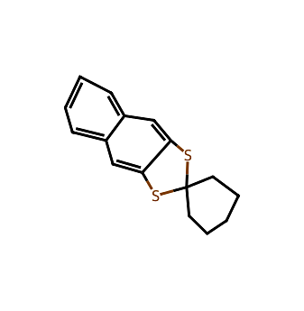 c1ccc2cc3c(cc2c1)SC1(CCCCC1)S3